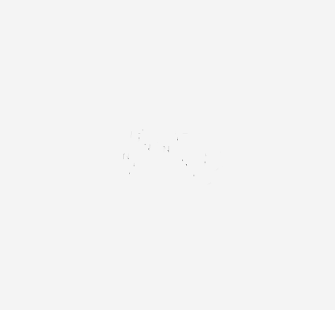 C[C@H]1CN(c2cccc3ccccc23)CCN1CN1CC(=O)N2CCC[C@H]2C1=O